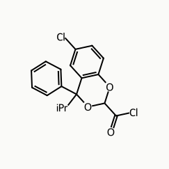 CC(C)C1(c2ccccc2)OC(C(=O)Cl)Oc2ccc(Cl)cc21